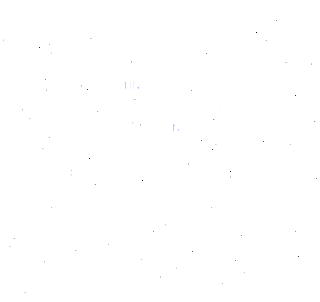 O=C1C2CCCC2Nc2ccccc2N1C/C=C/c1ccccc1